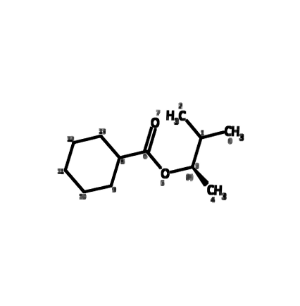 CC(C)[C@@H](C)OC(=O)C1CCCCC1